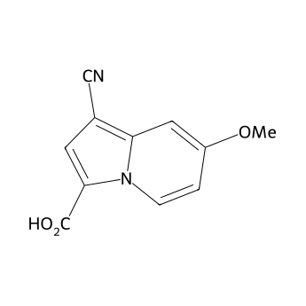 COc1ccn2c(C(=O)O)cc(C#N)c2c1